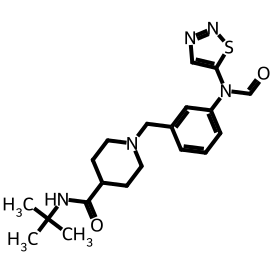 CC(C)(C)NC(=O)C1CCN(Cc2cccc(N(C=O)c3cnns3)c2)CC1